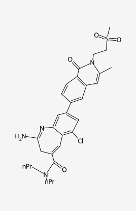 CCCN(CCC)C(=O)C1=Cc2c(Cl)cc(-c3ccc4c(=O)n(CCS(C)(=O)=O)c(C)cc4c3)cc2N=C(N)C1